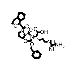 N=C(N)NCCC[C@@H](C(=O)O)N(C(=O)OCc1ccccc1)C(=O)[C@@H]1CCCN1C(=O)C1OCCc2ccccc21